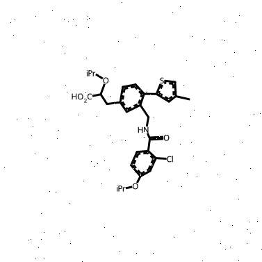 Cc1csc(-c2ccc(CC(OC(C)C)C(=O)O)cc2CNC(=O)c2ccc(OC(C)C)cc2Cl)c1